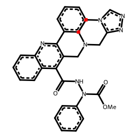 COC(=O)N(NC(=O)c1c(CN2CCn3cnnc3C2)c(-c2ccccc2)nc2ccccc12)c1ccccc1